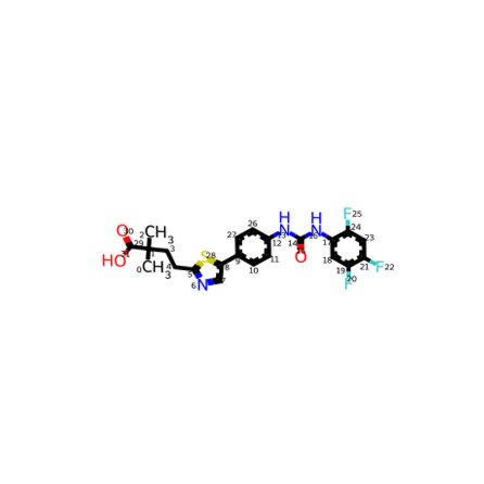 CC(C)(CCc1ncc(-c2ccc(NC(=O)Nc3cc(F)c(F)cc3F)cc2)s1)C(=O)O